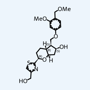 COCc1ccc(OC[C@@H]2[C@H]3CC[C@H](c4nc(CO)cs4)O[C@H]3C[C@@H]2O)cc1OC